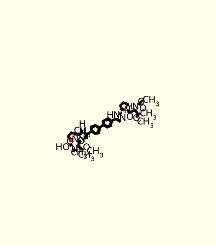 COC(=O)N[C@H](C(=O)N1CCC[C@H]1c1ncc(-c2ccc(-c3ccc(-c4cnc([C@]5(C)CCCN5C(=O)[C@H]([C@@H](C)OC)N(C)C(=O)O)[nH]4)cc3)cc2)[nH]1)C(C)OC